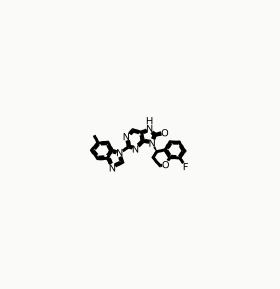 Cc1ccc2ncn(-c3ncc4[nH]c(=O)n([C@@H]5CCOc6c(F)cccc65)c4n3)c2c1